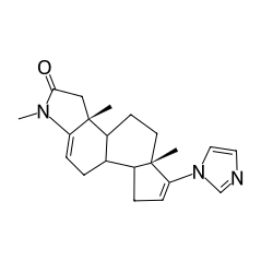 CN1C(=O)C[C@@]2(C)C1=CCC1C2CC[C@]2(C)C(n3ccnc3)=CCC12